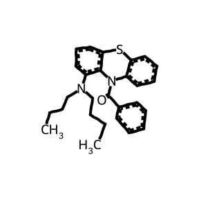 CCCCN(CCCC)c1cccc2c1N(C(=O)c1ccccc1)c1ccccc1S2